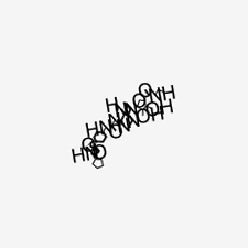 CCNC(=O)[C@H]1O[C@@H](n2cnc3c(NC(=O)Nc4ccc(S(=O)(=O)NC5CCCC5)cc4)ncnc32)C(O)C1O